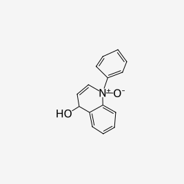 [O-][N+]1(c2ccccc2)C=CC(O)c2ccccc21